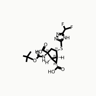 CC(C)(C)OC(=O)N[C@@]1(C(=O)O)C[C@H](Sc2nnc(C(F)F)[nH]2)[C@H]2[C@H](C(=O)O)[C@H]21